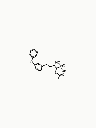 CC(=O)SC(CCCc1cccc(Oc2ccccc2)c1)P(=O)(O)O